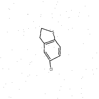 Clc1ccc2c(c1)CCS2